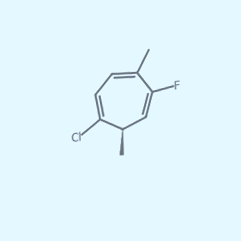 CC1=CC=C(Cl)[C@H](C)C=C1F